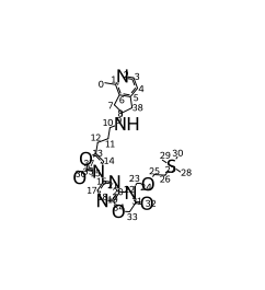 Cc1nccc2c1CC(NCCCc1cn(-c3cnc4c(n3)N(COCCS(C)(C)C)C(=O)CO4)c(=O)o1)C2